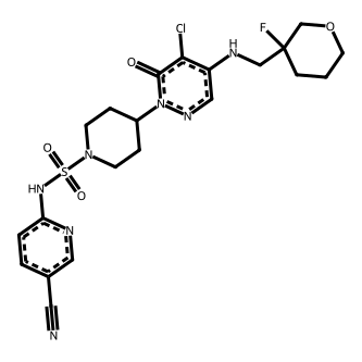 N#Cc1ccc(NS(=O)(=O)N2CCC(n3ncc(NCC4(F)CCCOC4)c(Cl)c3=O)CC2)nc1